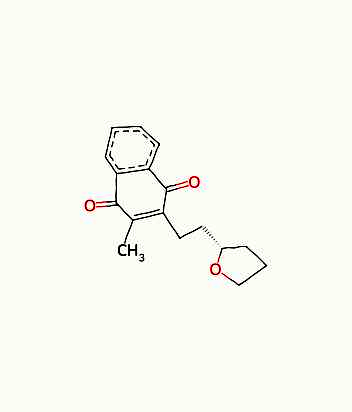 CC1=C(CC[C@@H]2CCCO2)C(=O)c2ccccc2C1=O